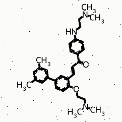 Cc1cc(C)cc(-c2ccc(OCCN(C)C)c(C=CC(=O)c3ccc(NCCN(C)C)cc3)c2)c1